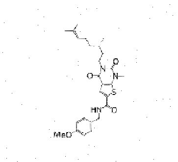 COc1ccc(CNC(=O)c2cc3c(=O)n(CC[C@@H](C)CCC=C(C)C)c(=O)n(C)c3s2)cc1